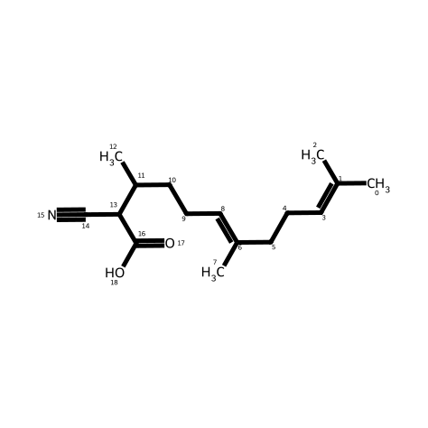 CC(C)=CCCC(C)=CCCC(C)C(C#N)C(=O)O